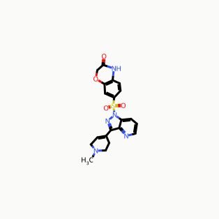 CN1CC=C(c2nn(S(=O)(=O)c3ccc4c(c3)OCC(=O)N4)c3cccnc23)CC1